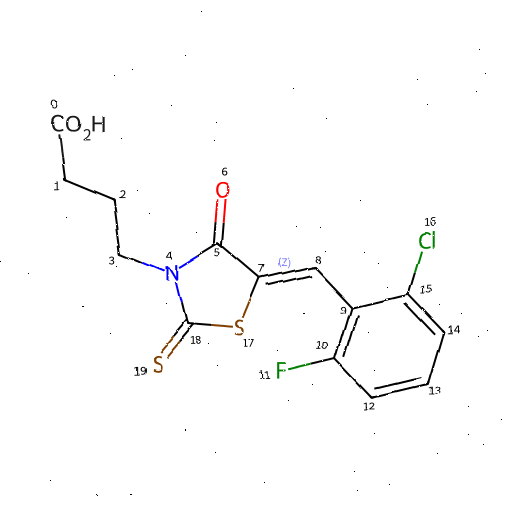 O=C(O)CCCN1C(=O)/C(=C/c2c(F)cccc2Cl)SC1=S